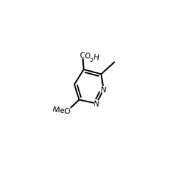 COc1cc(C(=O)O)c(C)nn1